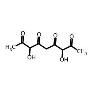 CC(=O)C(O)C(=O)CC(=O)C(O)C(C)=O